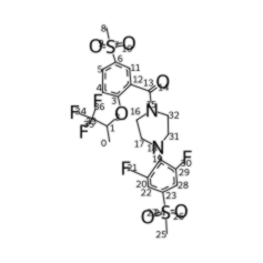 CC(Oc1ccc(S(C)(=O)=O)cc1C(=O)N1CCN(c2c(F)cc(S(C)(=O)=O)cc2F)CC1)C(F)(F)F